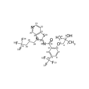 CC(C)(O)COc1ccc(C(F)(F)F)cc1C(=O)/N=c1\sc2ccncc2n1CCCC(F)(F)F